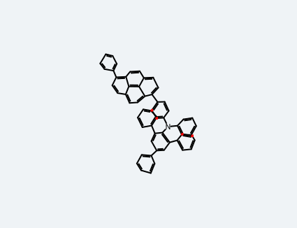 c1ccc(-c2cc(-c3ccccc3)c(N(c3ccccc3)c3ccc(-c4ccc5ccc6c(-c7ccccc7)ccc7ccc4c5c76)cc3)c(-c3ccccc3)c2)cc1